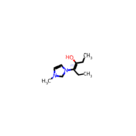 CC/C(O)=C(\CC)N1C=CN(C)C1